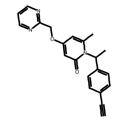 C#Cc1ccc(C(C)n2c(C)cc(OCc3ncccn3)cc2=O)cc1